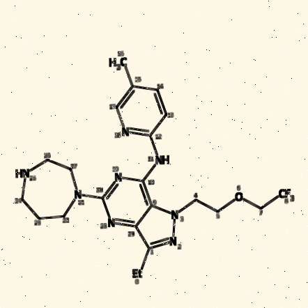 CCc1nn(CCOCC(F)(F)F)c2c(Nc3ccc(C)cn3)nc(N3CCCNCC3)nc12